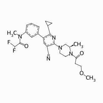 COCCC(=O)N1CCN(c2nc(C3CC3)c(-c3cccc(N(C)C(=O)C(F)F)c3)cc2C#N)C[C@H]1C